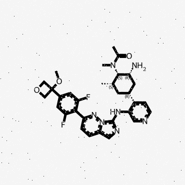 COC1(c2cc(F)c(-c3ccc4cnc(Nc5cnccc5[C@H]5C[C@@H](N)[C@@H](N(C)C(C)=O)[C@@H](C)C5)n4n3)c(F)c2)COC1